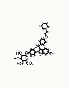 O=C(c1ccc(OCCN2CCCCC2)cc1)c1c(-c2ccc(O[C@@H]3OC(C(=O)O)[C@@H](O)C(O)C3O)cc2)sc2cc(O)ccc12